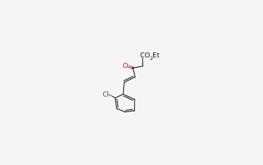 CCOC(=O)CC(=O)C=Cc1ccccc1Cl